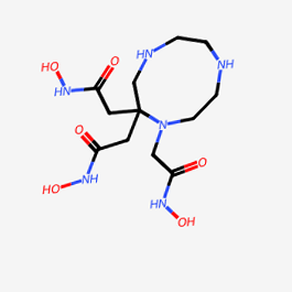 O=C(CN1CCNCCNCC1(CC(=O)NO)CC(=O)NO)NO